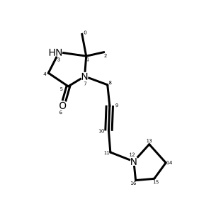 CC1(C)NCC(=O)N1CC#CCN1CCCC1